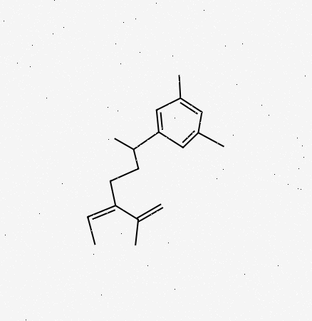 C=C(C)/C(=C\C)CCC(C)c1cc(C)cc(C)c1